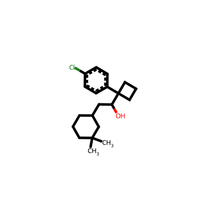 CC1(C)CCCC(CC(O)C2(c3ccc(Cl)cc3)CCC2)C1